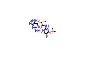 CC[C@@H](Sc1nc(N)nc2nc[nH]c12)C(=O)Nc1ncc(F)c(OC(C)C)n1